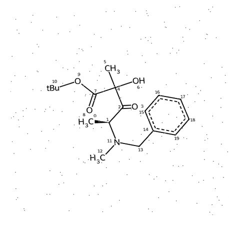 C[C@@H](C(=O)C(C)(O)C(=O)OC(C)(C)C)N(C)Cc1ccccc1